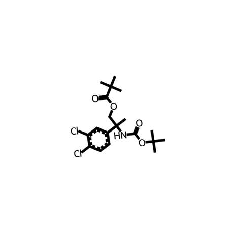 CC(C)(C)OC(=O)NC(C)(COC(=O)C(C)(C)C)c1ccc(Cl)c(Cl)c1